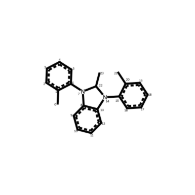 Cc1ccccc1N1c2ccccc2N(c2ccccc2C)C1C